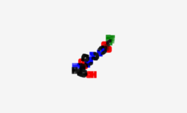 O=C(NC1[C@@H]2CC3C[C@H]1CC(O)(C3)C2)ON1CCN(c2ccc(N3CCN(S(=O)(=O)CCC(F)(F)F)CC3)cn2)c2ccccc21